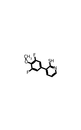 COc1c(F)cc(-c2cccnc2S)cc1F